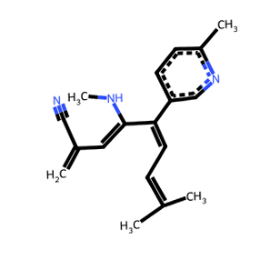 C=C(C#N)/C=C(NC)/C(=C\C=C(C)C)c1ccc(C)nc1